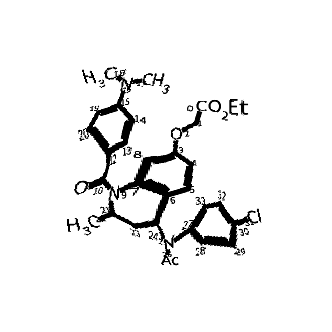 CCOC(=O)COc1ccc2c(c1)N(C(=O)c1ccc(N(C)C)cc1)C(C)C[C@@H]2N(C(C)=O)c1ccc(Cl)cc1